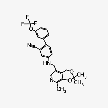 Cc1ncc(CNc2ccc(-c3cccc(OC(F)(F)F)c3)c(C#N)c2)c2c1OC(C)(C)OC2